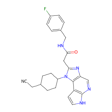 N#CCC1CCC(n2c(CC(=O)NCc3ccc(F)cc3)nc3cnc4[nH]ccc4c32)CC1